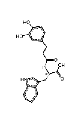 O=C(CCc1ccc(O)c(O)c1)N[C@@H](Cc1c[nH]c2ccccc12)C(=O)O